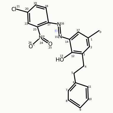 Cc1cc(CCc2ccccc2)c(O)c(/N=N/c2ccc(Cl)cc2[N+](=O)[O-])c1